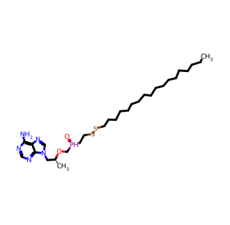 CCCCCCCCCCCCCCCCCCSSCC[PH](=O)CO[C@H](C)Cn1cnc2c(N)ncnc21